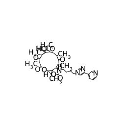 CO[C@@]1(C)C[C@@H](C)C(=O)[C@H](C)[C@H]2N(CCCCn3cnc(-c4cccnc4)c3)C(=O)O[C@@]23C(C)[C@H]3OC(=O)[C@H](C)C(=O)[C@H](C)[C@H]1O